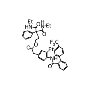 CCNC(=O)C(CCOC(=O)Cc1ccc(NC(=O)c2ccccc2-c2ccc(C(F)(F)F)cc2)c(CC)c1)(C(=O)NCC)c1ccccc1